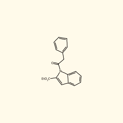 CCOC(=O)c1cc2ccccc2n1C(=O)Cc1ccccc1